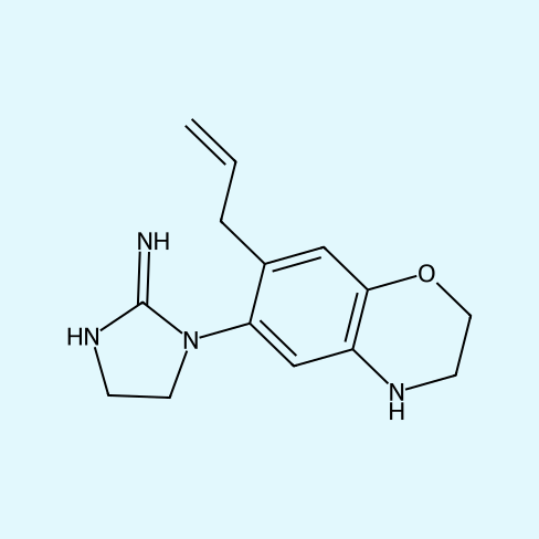 C=CCc1cc2c(cc1N1CCNC1=N)NCCO2